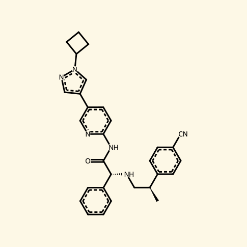 C[C@@H](CN[C@@H](C(=O)Nc1ccc(-c2cnn(C3CCC3)c2)cn1)c1ccccc1)c1ccc(C#N)cc1